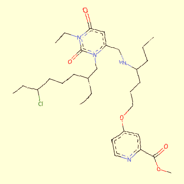 CCCC(CCCOc1ccnc(C(=O)OC)c1)NCc1cc(=O)n(CC)c(=O)n1CC(CC)CCCC(Cl)CC